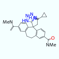 C=C(NC)c1ccc2c(c1)CCc1cc(C(=O)NC)ccc1C2(C[C@@H](N)C1CC1)c1nnn[nH]1